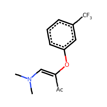 CC(=O)C(=CN(C)C)Oc1cccc(C(F)(F)F)c1